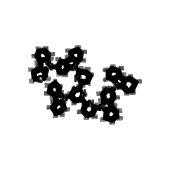 c1cc(-c2cc(-n3c4ccccc4c4ccccc43)cc(-c3cccc(-n4c5ccccc5c5cc(-n6c7ccccc7c7ccccc76)ccc54)n3)n2)nc(-n2c3ccccc3c3cc(-n4c5ccccc5c5ccccc54)ccc32)c1